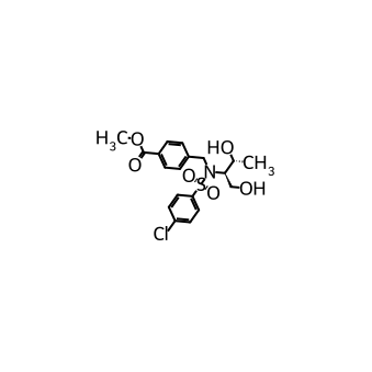 COC(=O)c1ccc(CN([C@H](CO)[C@@H](C)O)S(=O)(=O)c2ccc(Cl)cc2)cc1